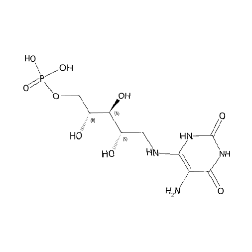 Nc1c(NC[C@H](O)[C@H](O)[C@H](O)COP(=O)(O)O)[nH]c(=O)[nH]c1=O